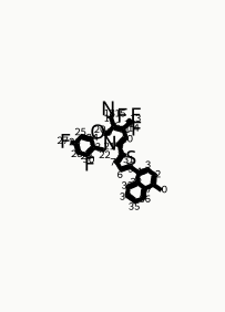 Cc1ccc(-c2ccc(-c3cc(C(F)(F)F)c(C#N)c(=O)n3Cc3ccc(F)cc3F)s2)c2ccccc12